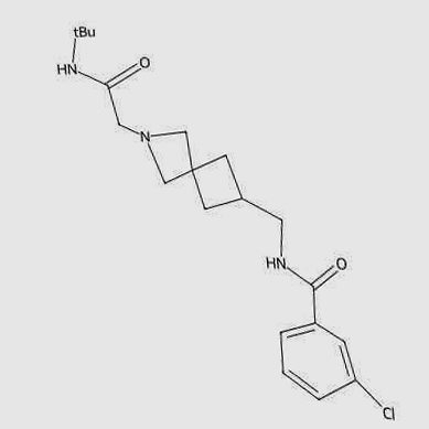 CC(C)(C)NC(=O)CN1CC2(CC(CNC(=O)c3cccc(Cl)c3)C2)C1